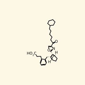 O=C(O)CCc1ccccc1C[C@@H]1[C@H](c2nc(C(=O)CCCCCC3CCCCC3)co2)[C@H]2CC[C@@H]1O2